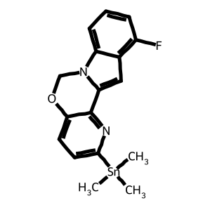 [CH3][Sn]([CH3])([CH3])[c]1ccc2c(n1)-c1cc3c(F)cccc3n1CO2